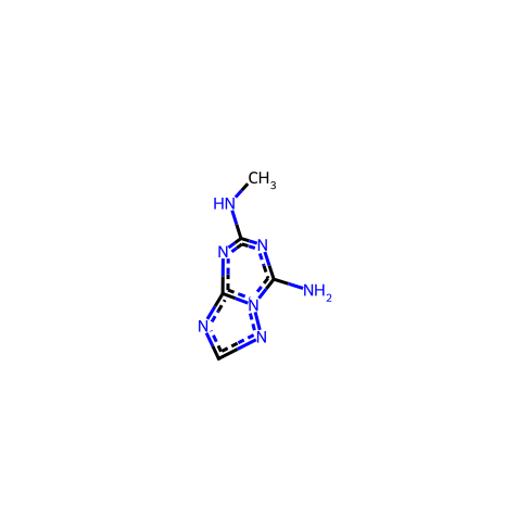 CNc1nc(N)n2ncnc2n1